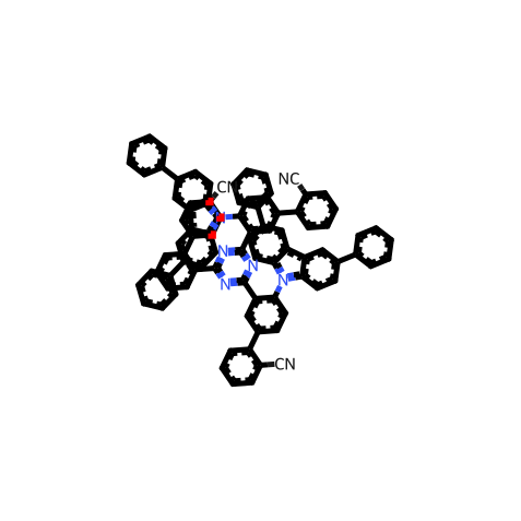 N#Cc1ccc(-c2ccccc2-c2nc(-c3cc(-c4ccccc4C#N)ccc3-n3c4ccc(-c5ccccc5)cc4c4cc(-c5ccccc5)ccc43)nc(-c3cc(-c4ccccc4C#N)ccc3-n3c4ccc(-c5ccccc5)cc4c4cc(-c5ccccc5)ccc43)n2)cc1